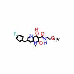 CC(C)OCCNC(=O)c1c(O)c2ncc(Cc3ccc(F)cc3)cc2n(C)c1=O